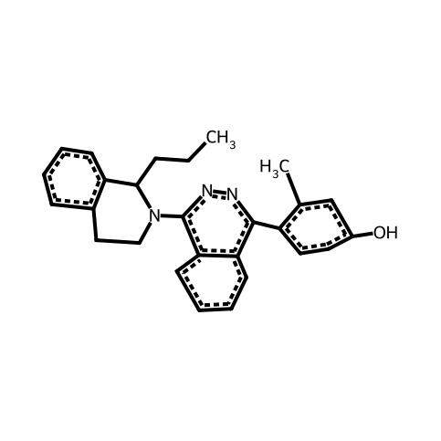 CCCC1c2ccccc2CCN1c1nnc(-c2ccc(O)cc2C)c2ccccc12